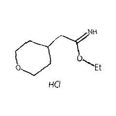 CCOC(=N)CC1CCOCC1.Cl